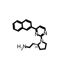 NCC[C@@H]1CCCN1c1nccc(-c2ccc3ccccc3c2)n1